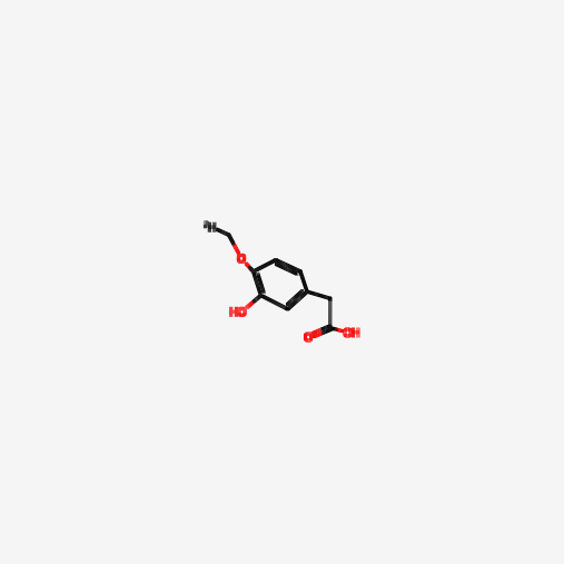 [2H]COc1ccc(CC(=O)O)cc1O